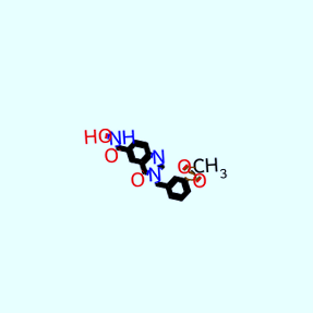 CS(=O)(=O)c1cccc(Cn2cnc3ccc(C(=O)NO)cc3c2=O)c1